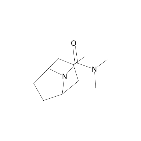 CC1CC2CCC(C1)N2C(=O)N(C)C